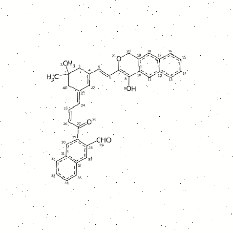 CC1(C)CC(/C=C/C2=C(O)c3cc4ccccc4cc3CO2)=CC(=C/C=C\C(=O)c2cc3ccccc3cc2C=O)/C1